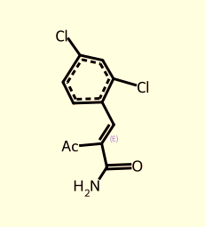 CC(=O)/C(=C\c1ccc(Cl)cc1Cl)C(N)=O